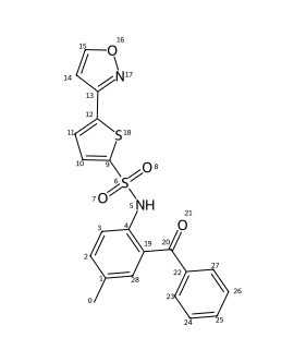 Cc1ccc(NS(=O)(=O)c2ccc(-c3ccon3)s2)c(C(=O)c2ccccc2)c1